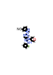 N#Cc1ccc2ncn(-c3ncc4nc(Nc5ccccc5F)n(C5CCOCC5)c4n3)c2c1